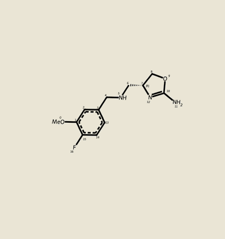 COc1cc(CNC[C@@H]2COC(N)=N2)ccc1F